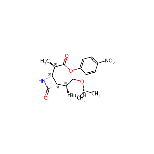 C[C@@H](C(=O)Oc1ccc([N+](=O)[O-])cc1)[C@H]1NC(=O)[C@H]1[C@@H](CO[SiH](C)C)C(C)(C)C